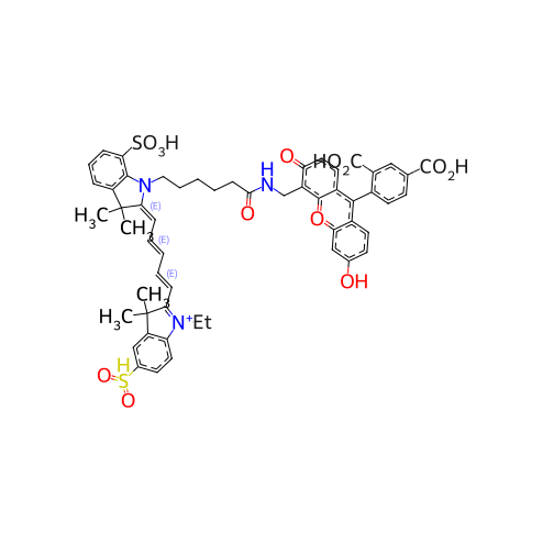 CC[N+]1=C(/C=C/C=C/C=C2/N(CCCCCC(=O)NCc3c4oc5cc(O)ccc5c(-c5ccc(C(=O)O)cc5C(=O)O)c-4ccc3=O)c3c(cccc3S(=O)(=O)O)C2(C)C)C(C)(C)c2cc([SH](=O)=O)ccc21